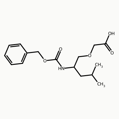 CC(C)CC(COCC(=O)O)NC(=O)OCc1ccccc1